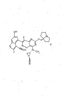 C#Cc1c(F)ccc2cc(O)cc(-c3ncc4c(N(C)[C@H]5C[C@@H]5C#N)nc(OC[C@@]56CCCN5C[C@H](F)C6)nc4c3F)c12